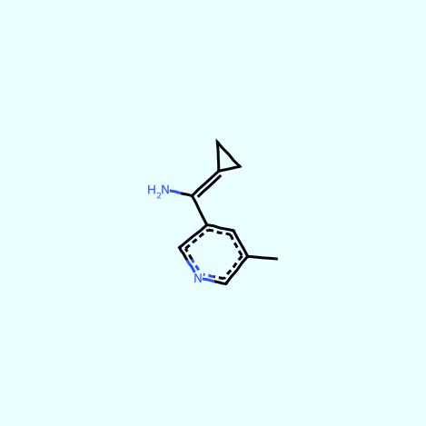 Cc1cncc(C(N)=C2CC2)c1